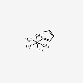 [CH3][Sc]([CH3])([CH3])([CH3])([CH3])[C]1=CC=CC1